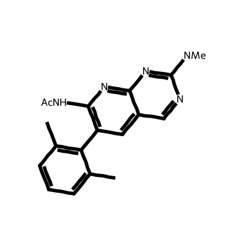 CNc1ncc2cc(-c3c(C)cccc3C)c(NC(C)=O)nc2n1